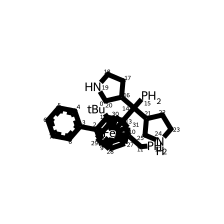 CC(C)(C)[C]12[C]3(c4ccccc4)[CH]4[C]5(CP)[C]1(C(P)(C1CCNC1)C1CCNC1)[Fe]45321678[CH]2[CH]1[CH]6[CH]7[CH]28